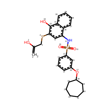 C=C(O)CSc1cc(NS(=O)(=O)c2cccc(OC3CCCCCC3)c2)c2ccccc2c1O